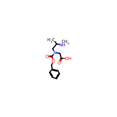 CNC(C)CN(CC(=O)O)C(=O)OCc1ccccc1